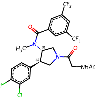 CC(=O)NCC(=O)N1C[C@@H](N(C)C(=O)c2cc(C(F)(F)F)cc(C(F)(F)F)c2)[C@H](c2ccc(Cl)c(Cl)c2)C1